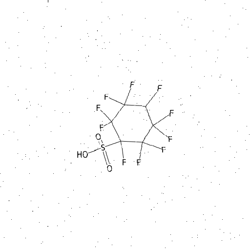 O=S(=O)(O)C1(F)C(F)(F)C(F)(F)C(F)C(F)(F)C1(F)F